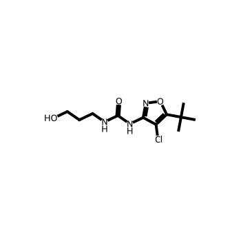 CC(C)(C)c1onc(NC(=O)NCCCO)c1Cl